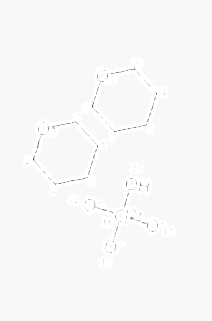 C1CCOCC1.C1CCOCC1.[O-][Cl+3]([O-])([O-])O